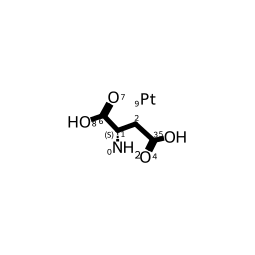 N[C@@H](CC(=O)O)C(=O)O.[Pt]